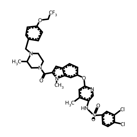 Cc1cc(Oc2ccc3cc(C(=O)N4CCN(Cc5ccc(OCC(F)(F)F)cc5)C(C)C4)n(C)c3c2)ncc1NS(=O)(=O)c1ccc(Cl)c(Cl)c1